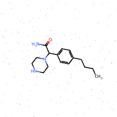 CCCCc1ccc(C(C(N)=O)N2CCNCC2)cc1